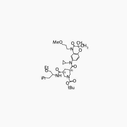 CCOCC(CC(C)C)NC(=O)[C@H]1C[C@@H](C(=O)N(c2ccc3c(c2)N(CCCOC)C(=O)C(C)(C)O3)C2CC2)CN(C(=O)OC(C)(C)C)C1